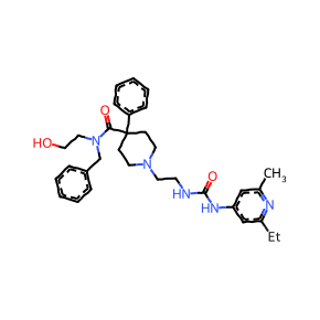 CCc1cc(NC(=O)NCCN2CCC(C(=O)N(CCO)Cc3ccccc3)(c3ccccc3)CC2)cc(C)n1